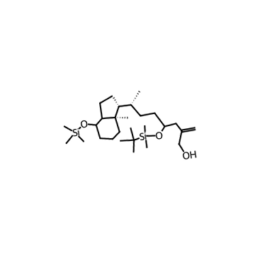 C=C(CO)CC(CC[C@@H](C)[C@H]1CCC2C(O[Si](C)(C)C)CCC[C@@]21C)O[Si](C)(C)C(C)(C)C